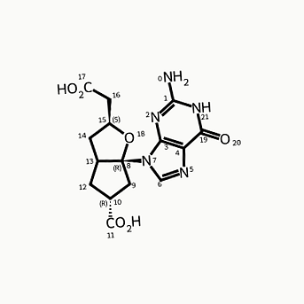 Nc1nc2c(ncn2[C@@]23C[C@H](C(=O)O)CC2C[C@@H](CC(=O)O)O3)c(=O)[nH]1